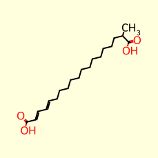 CC(CCCCCCCCCCCCC=CC=CC(=O)O)C(=O)O